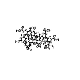 CC(=O)N[C@H](CO)C(=O)N[C@H](CCC(=O)O)C(=O)N[C@H](CC(=O)O)C(=O)N[C@H](CC(N)=O)C(=O)N[C@H](C)C(=O)N[C@H](CC(=O)O)C(=O)N[C@H](CCC(=O)O)C(=O)N[C@H](CCC(=O)O)C(=O)N[C@H](C)C(N)=O